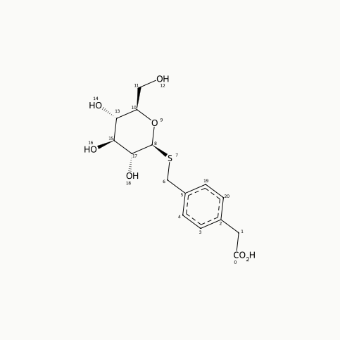 O=C(O)Cc1ccc(CS[C@@H]2O[C@H](CO)[C@@H](O)[C@H](O)[C@H]2O)cc1